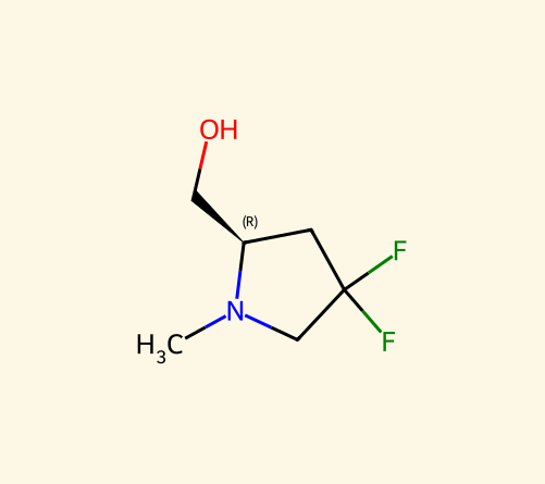 CN1CC(F)(F)C[C@@H]1CO